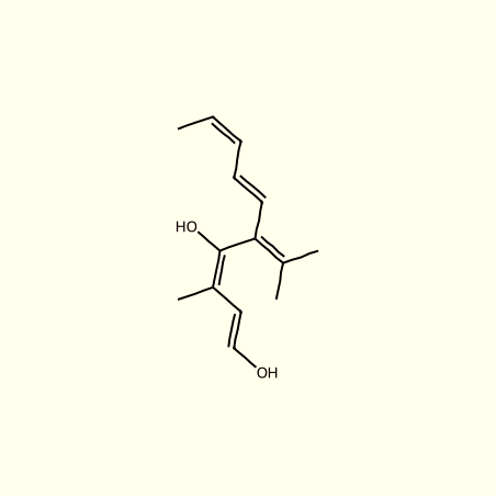 C/C=C\C=C\C(=C(C)C)/C(O)=C(C)\C=C\O